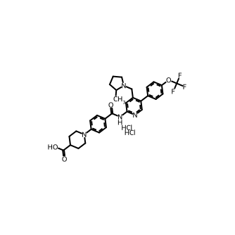 CC1CCCN1Cc1cc(NC(=O)c2ccc(N3CCC(C(=O)O)CC3)cc2)ncc1-c1ccc(OC(F)(F)F)cc1.Cl.Cl